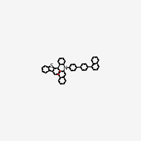 c1ccc(N(c2ccc(-c3ccc(-c4cccc5ccccc45)cc3)cc2)c2ccc3ccccc3c2)c(-c2cccc3c2sc2ccccc23)c1